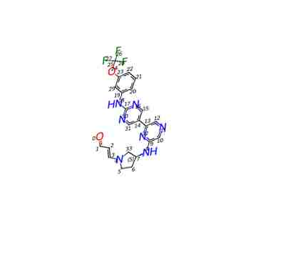 O=CC=CN1CC[C@H](Nc2cncc(-c3cnc(Nc4cccc(OC(F)(F)F)c4)nc3)n2)C1